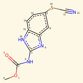 COC(=O)Nc1nc2cc(SC#N)ccc2[nH]1